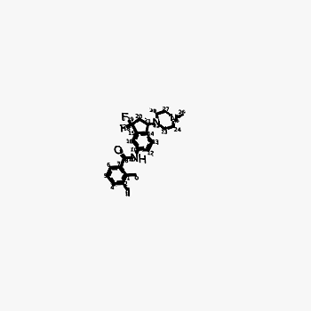 Cc1c(I)cccc1C(=O)Nc1ccc2c(c1)C(F)(F)CC2N1CCN(C)CC1